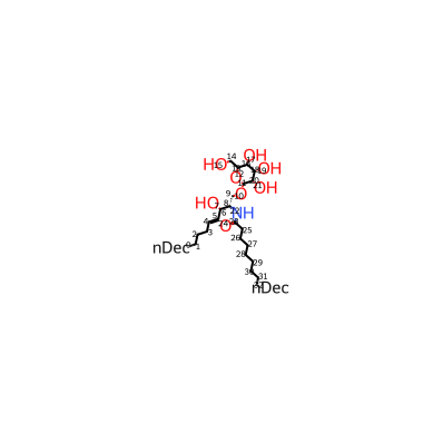 CCCCCCCCCCCCC/C=C/[C@@H](O)[C@H](CO[C@H]1OC(CO)[C@H](O)[C@H](O)[C@@H]1O)NC(=O)CCCCCCCCCCCCCCCCC